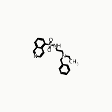 CCN(CCNS(=O)(=O)c1cccc2cnccc12)Cc1ccccc1